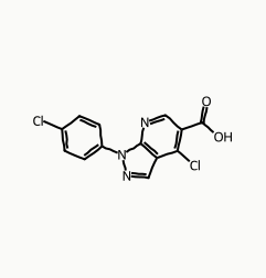 O=C(O)c1cnc2c(cnn2-c2ccc(Cl)cc2)c1Cl